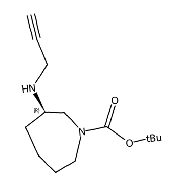 C#CCN[C@@H]1CCCCN(C(=O)OC(C)(C)C)C1